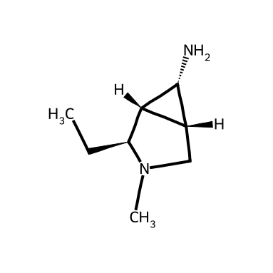 CC[C@H]1[C@@H]2[C@H](N)[C@@H]2CN1C